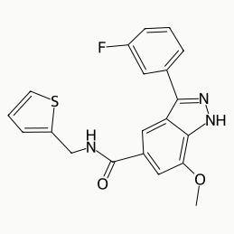 COc1cc(C(=O)NCc2cccs2)cc2c(-c3cccc(F)c3)n[nH]c12